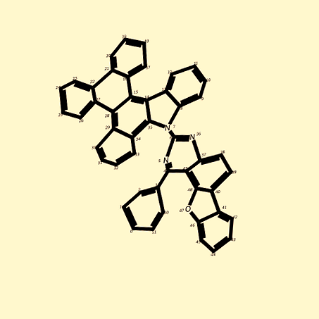 c1ccc(-c2nc(-n3c4ccccc4c4c5c6ccccc6c6ccccc6c5c5ccccc5c43)nc3ccc4c5ccccc5oc4c23)cc1